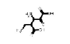 CCC(C(=O)O)C(N)C(=O)C(=O)O